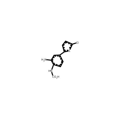 Nc1cc(-c2ccc(Cl)s2)ccc1NC(=O)O